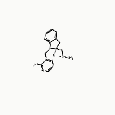 CNCC1(O)Cc2ccccc2C1Cc1ccccc1C